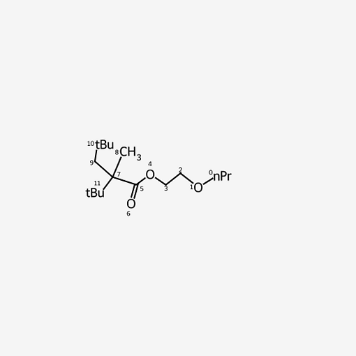 CCCOCCOC(=O)C(C)(CC(C)(C)C)C(C)(C)C